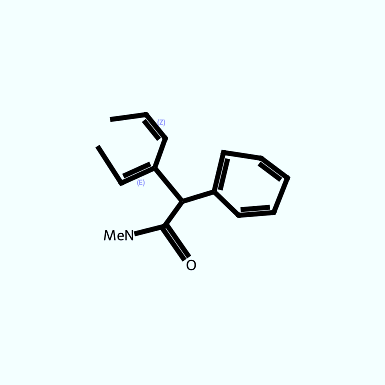 C/C=C\C(=C/C)C(C(=O)NC)c1ccccc1